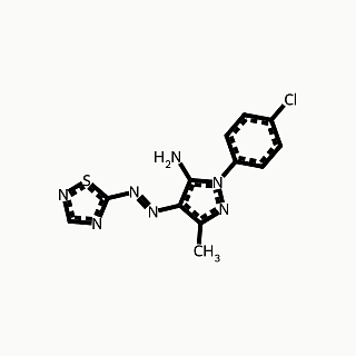 Cc1nn(-c2ccc(Cl)cc2)c(N)c1N=Nc1ncns1